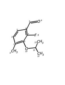 Cc1ccc(C=O)c(F)c1OC(C)C